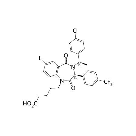 C[C@H](c1ccc(Cl)cc1)N1C(=O)c2cc(I)ccc2N(CCCCC(=O)O)C(=O)[C@@H]1c1ccc(C(F)(F)F)cc1